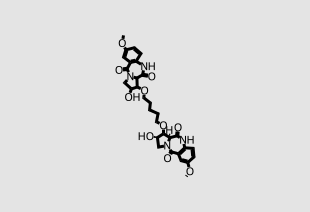 COc1ccc2c(c1)C(=O)N1CC(O)C(OCCCCCOC3[C@H](O)CN4C(=O)c5cc(OC)ccc5NC(=O)[C@H]34)C1C(=O)N2